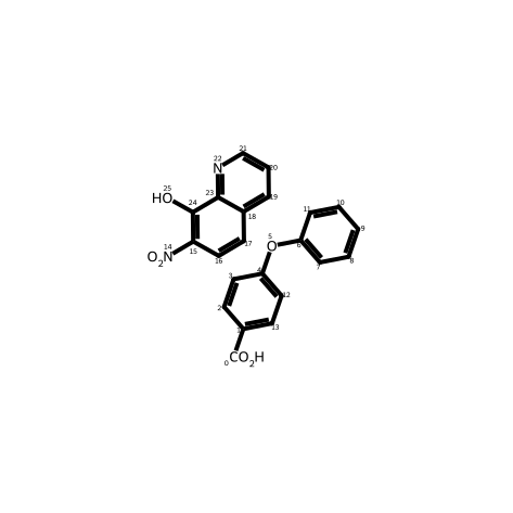 O=C(O)c1ccc(Oc2ccccc2)cc1.O=[N+]([O-])c1ccc2cccnc2c1O